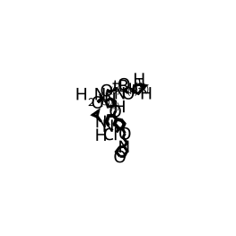 CC(C)(C)[C@H](NC(=O)O[C@@H]1C[C@@H]2C[C@@H]2C1)C(=O)N1C[C@H](Oc2cc(NC3CC3)nc3c(Cl)c(OCCN4CCOCC4)ccc23)C[C@H]1C(N)=O